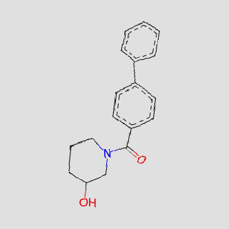 O=C(c1ccc(-c2ccccc2)cc1)N1CCCC(O)C1